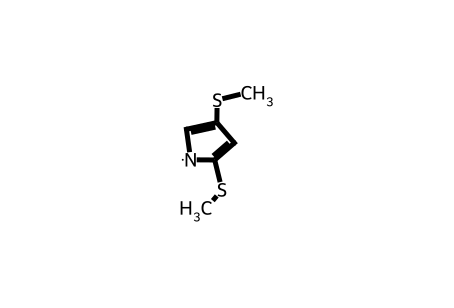 CSC1=C[N]C(SC)=C1